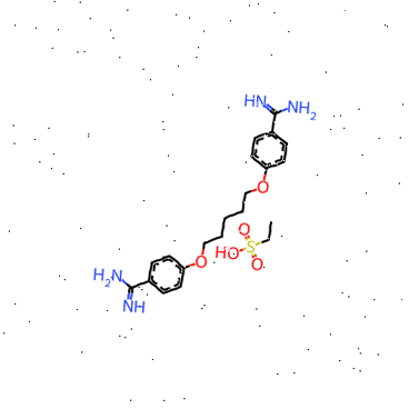 CCS(=O)(=O)O.N=C(N)c1ccc(OCCCCCOc2ccc(C(=N)N)cc2)cc1